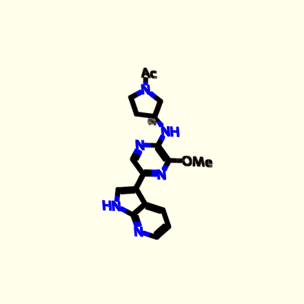 COc1nc(-c2c[nH]c3ncccc23)cnc1N[C@H]1CCN(C(C)=O)C1